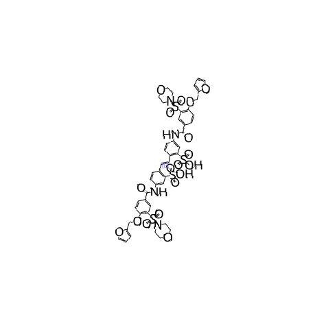 O=C(Nc1ccc(/C=C/c2ccc(NC(=O)c3ccc(OCc4ccco4)c(S(=O)(=O)N4CCOCC4)c3)cc2S(=O)(=O)O)c(S(=O)(=O)O)c1)c1ccc(OCc2ccco2)c(S(=O)(=O)N2CCOCC2)c1